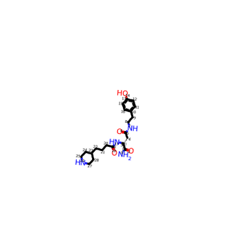 NC(=O)[C@@H](CC(=O)NCCc1ccc(O)cc1)NC(=O)CCCC1CCNCC1